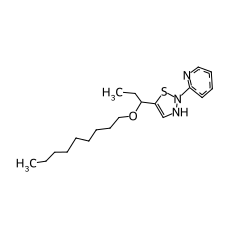 CCCCCCCCCOC(CC)C1=CNN(c2ccccn2)S1